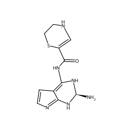 N[C@H]1NC2=NC=CC2=C(NC(=O)C2=CNCCS2)N1